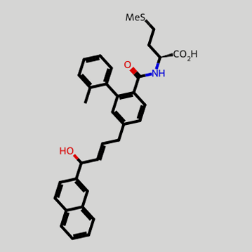 CSCC[C@H](NC(=O)c1ccc(CC=CC(O)c2ccc3ccccc3c2)cc1-c1ccccc1C)C(=O)O